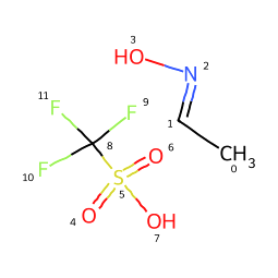 CC=NO.O=S(=O)(O)C(F)(F)F